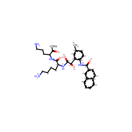 COC(=O)C(CCCN)NC(=O)C(CCCCN)NC(=O)C(=O)c1cc(C)ccc1NC(=O)c1ccc2ccccc2c1